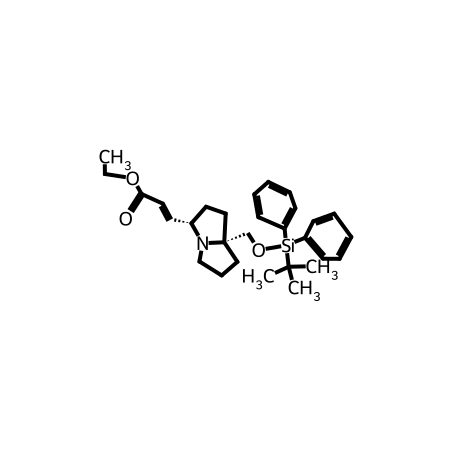 CCOC(=O)/C=C/[C@@H]1CC[C@@]2(CO[Si](c3ccccc3)(c3ccccc3)C(C)(C)C)CCCN12